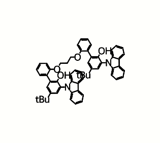 CC(C)(C)c1cc(-c2ccccc2OCCCOc2ccccc2-c2cc(C(C)(C)C)cc(-n3c4ccccc4c4ccccc43)c2O)c(O)c(-n2c3ccccc3c3ccccc32)c1